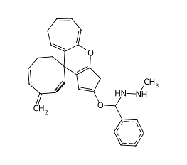 C=C1/C=C\CCC2(C3=CCC=CC=C3OC3=C2C=C(OC(NNC)c2ccccc2)C3)C2=C1C=CCC2